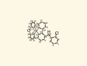 Clc1ccccc1Nc1cccc2c1-c1ccccc1C21c2ccccc2Oc2ccccc21